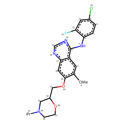 COc1cc2c(Nc3ccc(Cl)cc3F)ncnc2cc1OCC1CN(C(C)C)CCO1